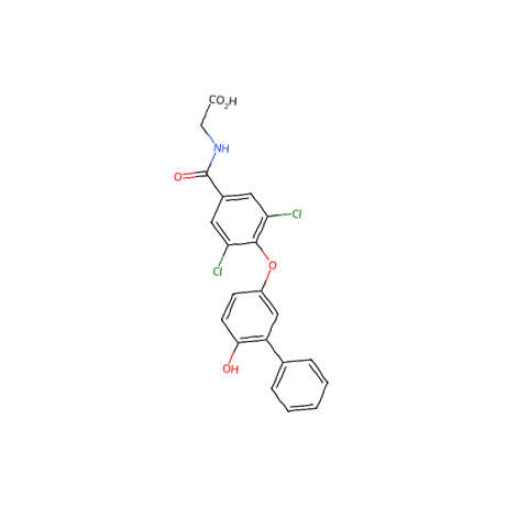 O=C(O)CNC(=O)c1cc(Cl)c(Oc2ccc(O)c(-c3ccccc3)c2)c(Cl)c1